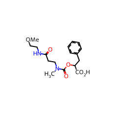 COCCNC(=O)CCN(C)C(=O)OC(Cc1ccccc1)C(=O)O